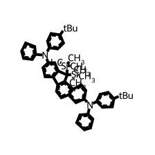 CC(C)(C)c1ccc(N(c2ccccc2)c2ccc3c(c2)C([Si](C)(C)C)([Si](C)(C)C)c2c-3ccc3cc(N(c4ccccc4)c4ccc(C(C)(C)C)cc4)ccc23)cc1